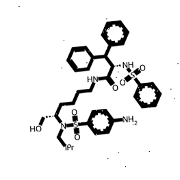 CC(C)CN([C@H](CO)CCCCNC(=O)[C@@H](NS(=O)(=O)c1ccccc1)C(c1ccccc1)C1C=CC=CC1)S(=O)(=O)c1ccc(N)cc1